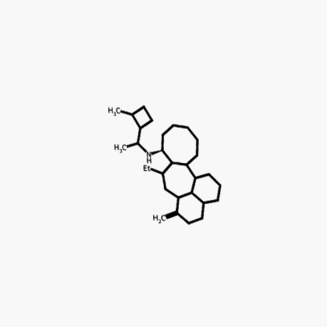 C=C1CCC2CCCC3C4CCCCC[C@H](NC(C)C5CCC5C)C4C(CC)CC1C23